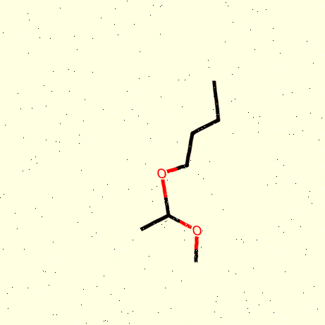 CCCCOC(C)OC